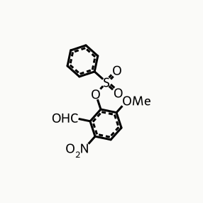 COc1ccc([N+](=O)[O-])c(C=O)c1OS(=O)(=O)c1ccccc1